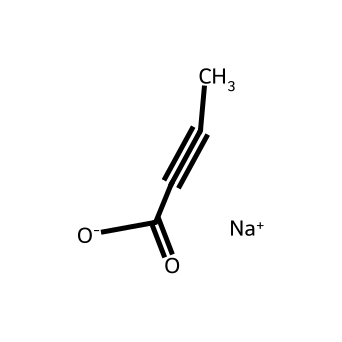 CC#CC(=O)[O-].[Na+]